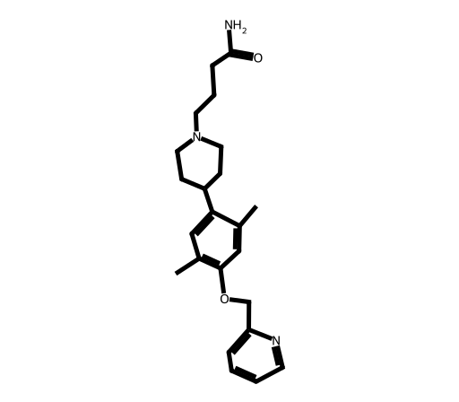 Cc1cc(C2CCN(CCCC(N)=O)CC2)c(C)cc1OCc1ccccn1